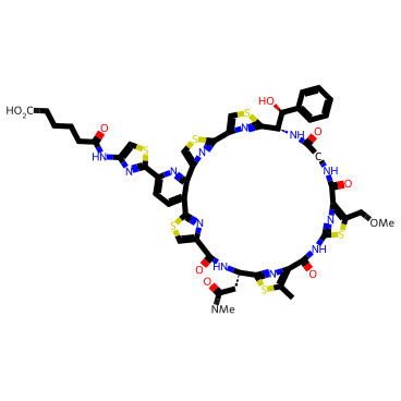 CNC(=O)C[C@@H]1NC(=O)c2csc(n2)-c2ccc(-c3nc(NC(=O)CCCCC(=O)O)cs3)nc2-c2csc(n2)-c2csc(n2)[C@H]([C@@H](O)c2ccccc2)NC(=O)CNC(=O)c2nc(sc2COC)NC(=O)c2nc1sc2C